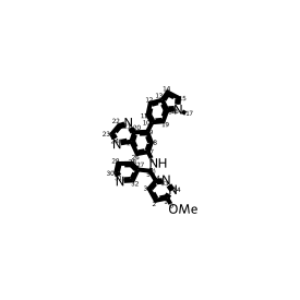 COc1ccc([C@H](Nc2cc(-c3ccc4ccn(C)c4c3)c3nccnc3c2)c2cccnc2)nn1